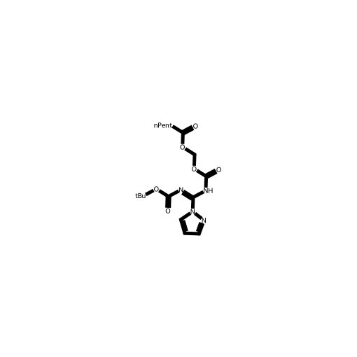 CCCCCC(=O)OCOC(=O)NC(=NC(=O)OC(C)(C)C)n1cccn1